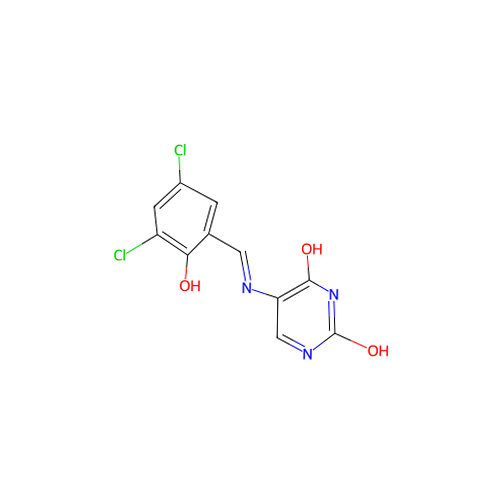 Oc1ncc(/N=C/c2cc(Cl)cc(Cl)c2O)c(O)n1